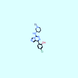 CCN1CCC[C@@H](Nc2nnc(-c3ccc(Cl)cc3O)c3cncn23)C1